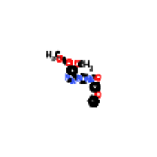 COCCOc1cc2ncnc(N3CCN(N(C=O)c4ccc(Oc5ccccc5)cc4)CC3)c2cc1OC